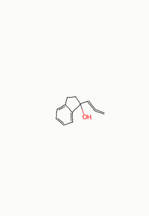 C=C=CC1(O)CCc2ccccc21